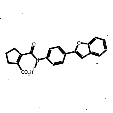 O=C(O)C1=C(C(=O)N(F)c2ccc(-c3cc4ccccc4o3)cc2)CCC1